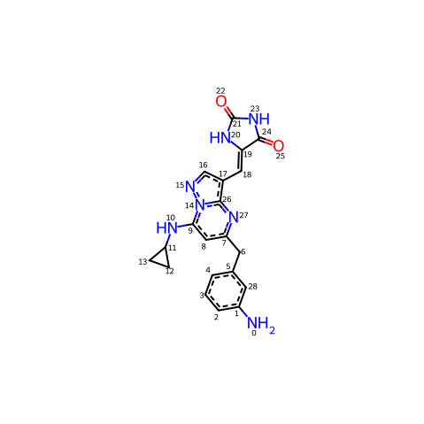 Nc1cccc(Cc2cc(NC3CC3)n3ncc(/C=C4\NC(=O)NC4=O)c3n2)c1